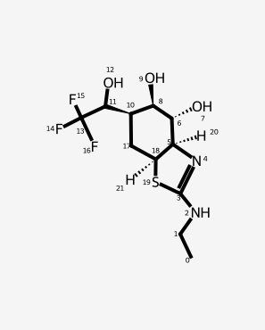 CCNC1=N[C@@H]2[C@@H](O)[C@H](O)[C@H](C(O)C(F)(F)F)C[C@@H]2S1